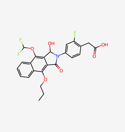 CCCOc1c2c(c(OC(F)F)c3ccccc13)C(O)N(c1ccc(CC(=O)O)c(F)c1)C2=O